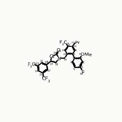 COc1cc(F)ccc1-c1cc(C(C)C)c(C(F)(F)F)cc1CN1CC(c2cc(C(F)(F)F)cc(C(F)(F)F)c2)OC1=O